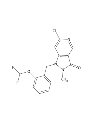 Cn1c(=O)c2cnc(Cl)cc2n1Cc1ccccc1OC(F)F